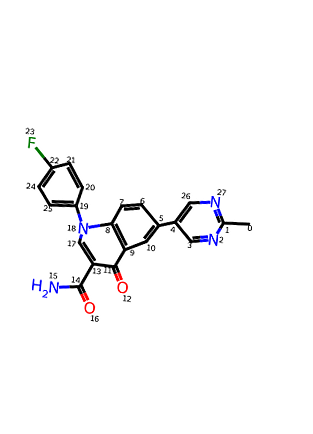 Cc1ncc(-c2ccc3c(c2)c(=O)c(C(N)=O)cn3-c2ccc(F)cc2)cn1